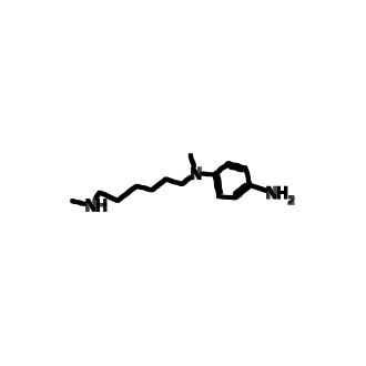 CNCCCCCCN(C)c1ccc(N)cc1